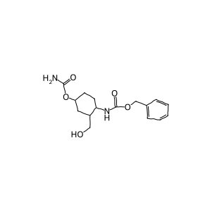 NC(=O)OC1CCC(NC(=O)OCc2ccccc2)C(CO)C1